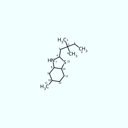 CCC(C)(C)CC1NC2CC(C)CCC2S1